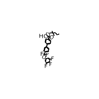 CCCC1(C)COC(O)(c2ccc(-c3ccc(C(F)(F)Oc4cc(F)c(F)c(F)c4)cc3)cc2)OC1